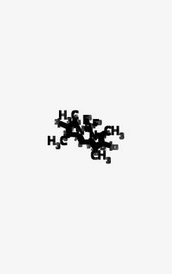 CC1=C(I)C(C)=[N+]2C1=Cc1c(C)c(I)c(C)n1[B-]2(F)F